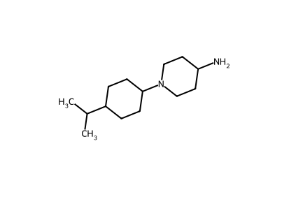 CC(C)C1CCC(N2CCC(N)CC2)CC1